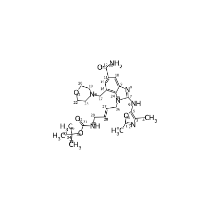 Cc1nc(C)c(Nc2nc3cc(C(N)=O)cc(CN4CCOCC4)c3n2C/C=C/CNC(=O)OC(C)(C)C)o1